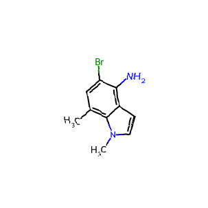 Cc1cc(Br)c(N)c2ccn(C)c12